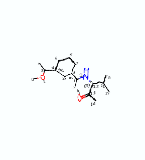 COC(C)[C@H]1CCC[C@@H](C(C)N[C@@H](C(C)=O)C(C)C)C1